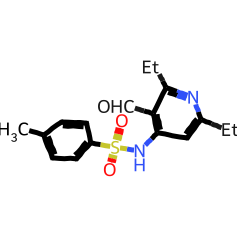 CCc1cc(NS(=O)(=O)c2ccc(C)cc2)c(C=O)c(CC)n1